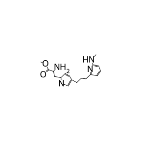 CNc1cccc(CCCc2ccc(C[C@H](N)C(=O)OC)nc2)n1